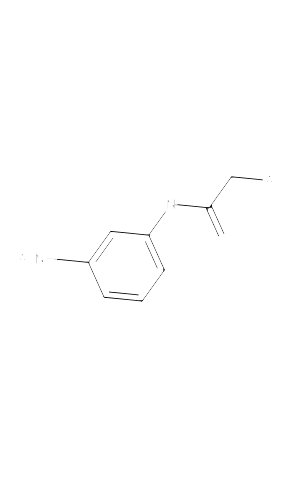 CC(=O)CC(=O)Nc1cccc(NC(C)=O)c1